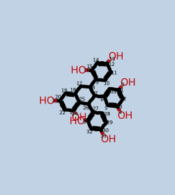 Oc1cc(O)cc(C2C(c3ccc(O)cc3O)Cc3cc(O)cc(O)c3C2c2ccc(O)cc2O)c1